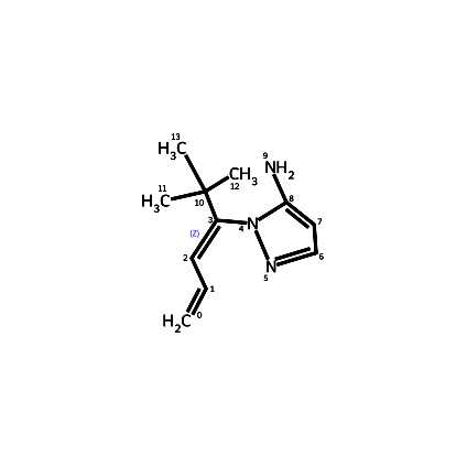 C=C/C=C(\n1nccc1N)C(C)(C)C